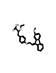 CCOC(Cc1ccc(OCC=C2c3ccccc3-c3ccc(OC)cc32)cc1)C(=O)O